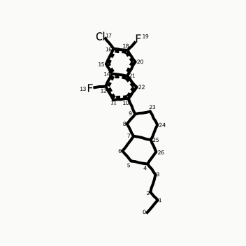 CCCCC1CCC2CC(c3cc(F)c4cc(Cl)c(F)cc4c3)CCC2C1